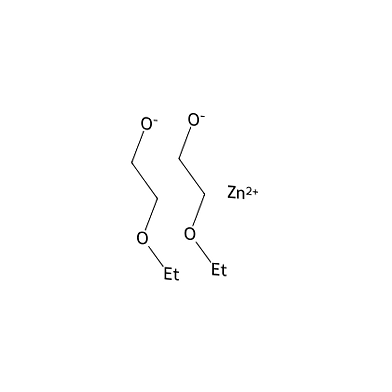 CCOCC[O-].CCOCC[O-].[Zn+2]